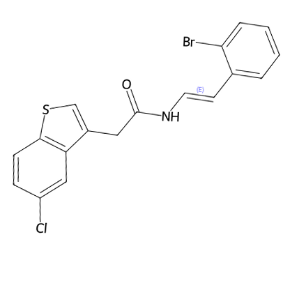 O=C(Cc1csc2ccc(Cl)cc12)N/C=C/c1ccccc1Br